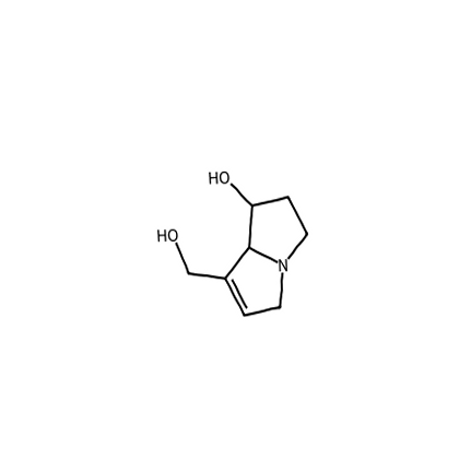 OCC1=CCN2CCC(O)C12